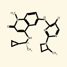 CC1CCN1c1ncc(Cl)c(Nc2ccc3c(c2)c(N[C@H](C)C2CC2)cc(=O)n3C)n1